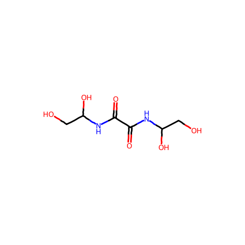 O=C(NC(O)CO)C(=O)NC(O)CO